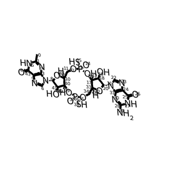 Cc1nc2c(ncn2[C@@H]2O[C@@H]3CO[P@](=O)(S)O[C@@H]4C(O)[C@H](n5cnc6c(=O)[nH]c(N)nc65)O[C@@H]4CO[P@](=O)(S)O[C@@H]3C2O)c(=O)[nH]1